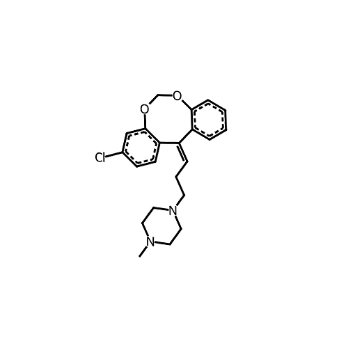 CN1CCN(CCC=C2c3ccccc3OCOc3cc(Cl)ccc32)CC1